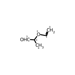 C=COC(C)C=O